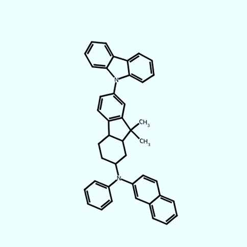 CC1(C)c2cc(-n3c4ccccc4c4ccccc43)ccc2C2CCC(N(c3ccccc3)c3ccc4ccccc4c3)CC21